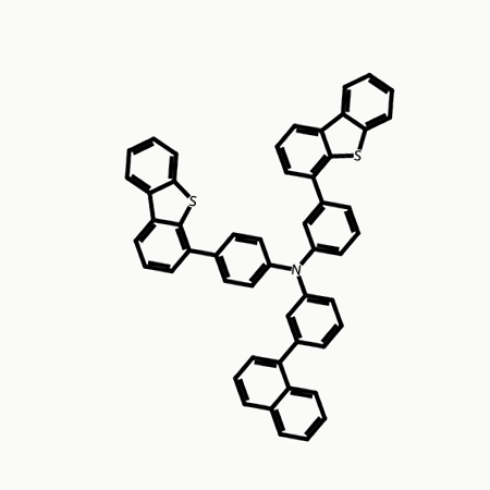 c1cc(-c2cccc3ccccc23)cc(N(c2ccc(-c3cccc4c3sc3ccccc34)cc2)c2cccc(-c3cccc4c3sc3ccccc34)c2)c1